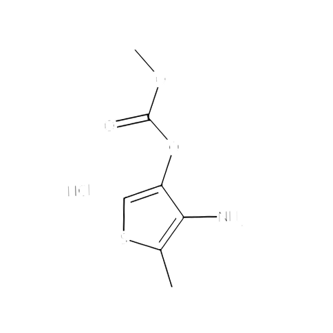 COC(=O)Oc1csc(C)c1N.Cl